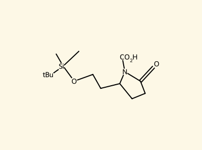 CC(C)(C)[Si](C)(C)OCCC1CCC(=O)N1C(=O)O